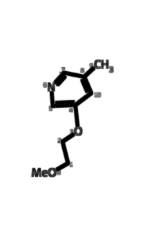 COCCOc1cn[c]c(C)c1